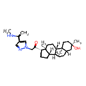 C=C(NC)c1cnn(CC(=O)[C@H]2CC[C@H]3[C@@H]4CC[C@H]5C[C@](C)(O)CC[C@]5(C)[C@H]4CC[C@]23C)c1